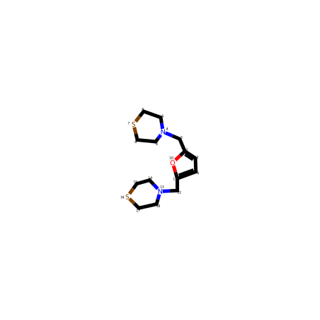 c1cc(CN2CCSCC2)oc1CN1CCSCC1